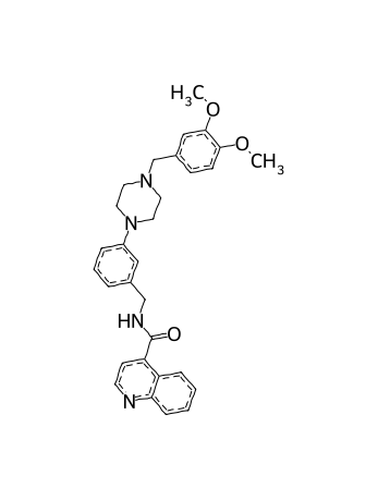 COc1ccc(CN2CCN(c3cccc(CNC(=O)c4ccnc5ccccc45)c3)CC2)cc1OC